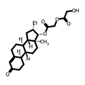 CC[C@H]1C[C@H]2[C@@H]3CCC4=CC(=O)CC[C@@H]4[C@H]3CC[C@]2(C)[C@H]1OC(=O)COC(=O)CO